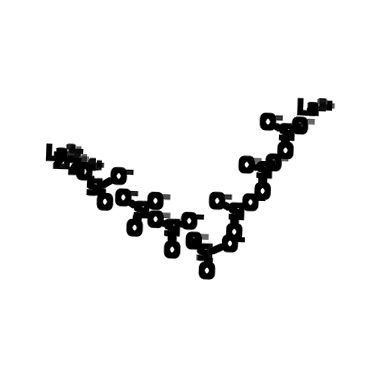 O=[Si]([O-])[O-].O=[Si]([O-])[O-].O=[Si]([O-])[O-].O=[Si]([O-])[O-].O=[Si]([O-])[O-].O=[Si]([O-])[O-].O=[Si]([O-])[O-].[La+3].[La+3].[Zr+4].[Zr+4]